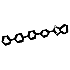 c1ccc(-c2ccc(-c3ccc(-c4ccc(-c5nc6ccccc6o5)cc4)cc3)cc2)cc1